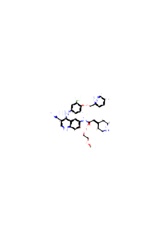 COCCOc1cc2ncc(C#N)c(Nc3ccc(OCc4ccccn4)c(Cl)c3)c2cc1NC(=O)C=C1CCNCC1